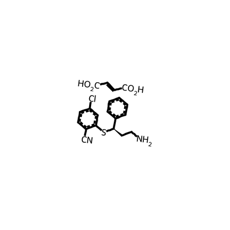 N#Cc1ccc(Cl)cc1S[C@H](CCN)c1ccccc1.O=C(O)/C=C/C(=O)O